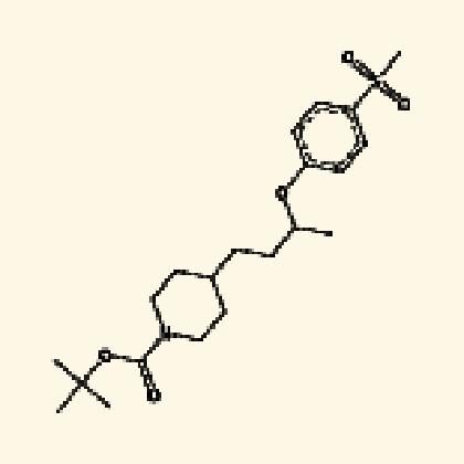 CC(CCC1CCN(C(=O)OC(C)(C)C)CC1)Oc1ccc(S(C)(=O)=O)cc1